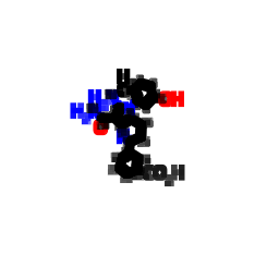 Cc1ccc(O)cc1-n1c(N)c(C(N)=O)c2nc(-c3cccc(C(=O)O)c3)ccc21